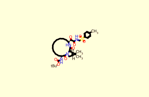 Cc1ccc(S(=O)(=O)CNC(=O)C(=O)[C@@H]2CCCCCCCCCC[C@H](NC(=O)OC(C)(C)C)C(=O)N3C[C@H]4C([C@H]3C(=O)N2)C4(C)C)cc1